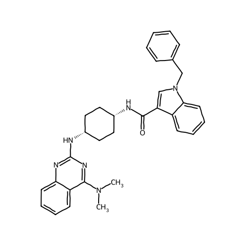 CN(C)c1nc(N[C@H]2CC[C@@H](NC(=O)c3cn(Cc4ccccc4)c4ccccc34)CC2)nc2ccccc12